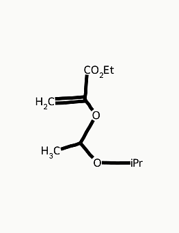 C=C(OC(C)OC(C)C)C(=O)OCC